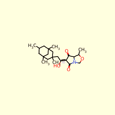 CC1CC2(C)CC(C)(C/C(O)=C3\C(=O)C4C(C)OCN4C3=O)CC(C)(C1)C2